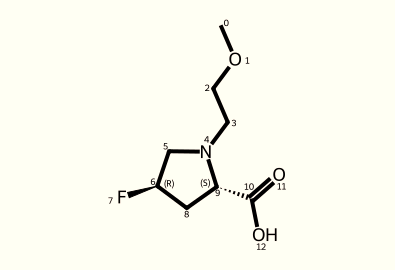 COCCN1C[C@H](F)C[C@H]1C(=O)O